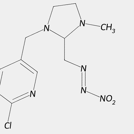 CN1CCN(Cc2ccc(Cl)nc2)C1C/N=N/[N+](=O)[O-]